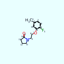 Cc1ccc(F)c(OCCN2CCCC2=O)c1